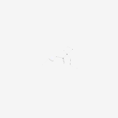 C/C=C/CC(=O)C1(CCC)CCC1